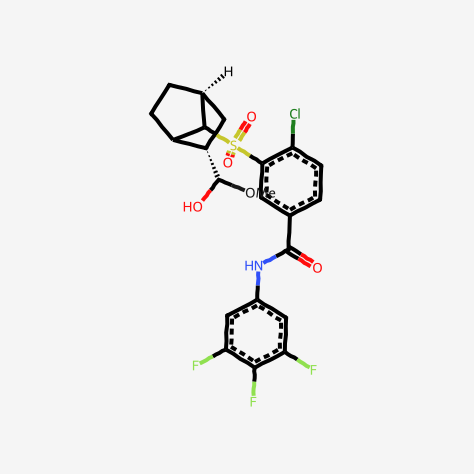 COC(O)[C@H]1C[C@@H]2CCC1C2S(=O)(=O)c1cc(C(=O)Nc2cc(F)c(F)c(F)c2)ccc1Cl